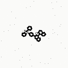 C1=CC2=CC(c3ccc(-n4c(-c5ccccc5)nc5ccccc54)cc3)=C3Oc4ccc5ccccc5c4C3C2C=C1